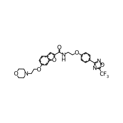 O=C(NCCOc1ccc(-c2noc(C(F)(F)F)n2)cc1)c1cc2ccc(OCCN3CCOCC3)cc2o1